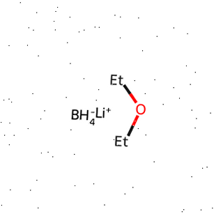 CCOCC.[BH4-].[Li+]